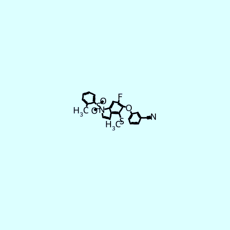 CSc1c(Oc2cccc(C#N)c2)c(F)cc2c1ccn2S(=O)(=O)c1ccccc1C